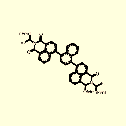 CCCCCC(CC)N1C(=O)c2cccc3c(-c4ccc(-c5ccc6c7c(cccc57)C(OC)N(C(CC)CCCCC)C6=O)c5ccccc45)ccc(c23)C1=O